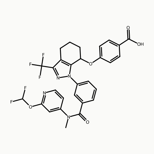 CN(C(=O)c1cccc(-n2nc(C(F)(F)F)c3c2C(Oc2ccc(C(=O)O)cc2)CCC3)c1)c1ccnc(OC(F)F)c1